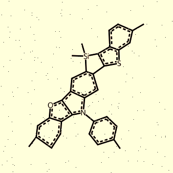 Cc1ccc(-n2c3cc4c(cc3c3oc5cc(C)ccc5c32)[Si](C)(C)c2c-4sc3cc(C)ccc23)cc1